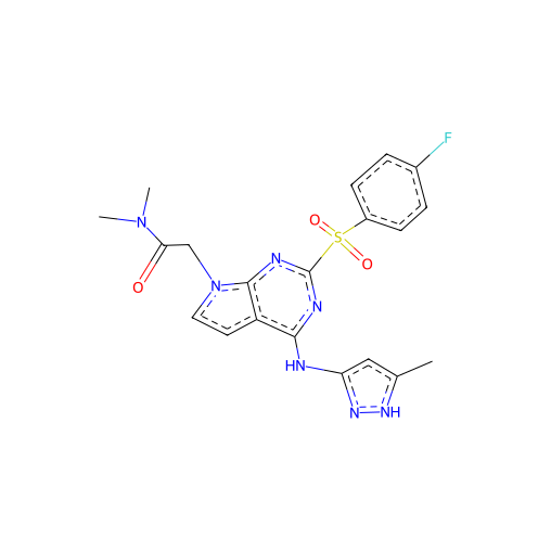 Cc1cc(Nc2nc(S(=O)(=O)c3ccc(F)cc3)nc3c2ccn3CC(=O)N(C)C)n[nH]1